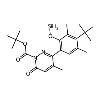 Cc1cc(=O)n(C(=O)OC(C)(C)C)nc1-c1cc(C)c(C(C)(C)C)c(C)c1O[SiH3]